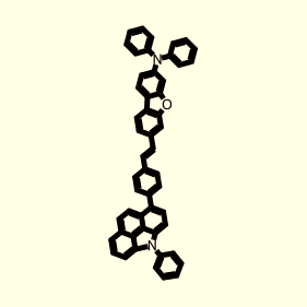 C(=C\c1ccc2c(c1)oc1cc(N(c3ccccc3)c3ccccc3)ccc12)/c1ccc(-c2ccc3c4c2ccc2cccc(c24)n3-c2ccccc2)cc1